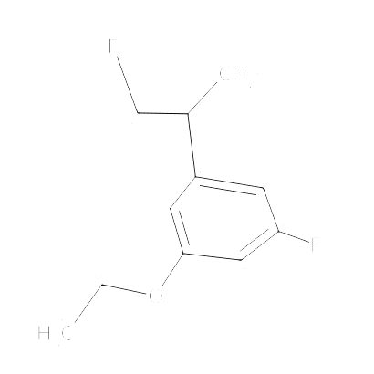 [CH2]C(CF)c1cc(F)cc(OCC)c1